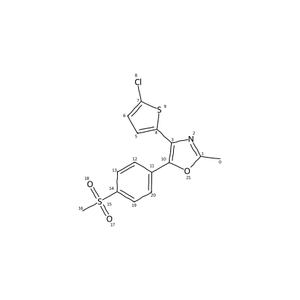 Cc1nc(-c2ccc(Cl)s2)c(-c2ccc(S(C)(=O)=O)cc2)o1